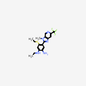 CCNc1cc(SCC)c(-c2nc3cc(C(F)(F)F)ncc3n2C)cc1N